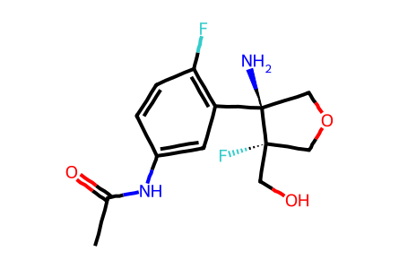 CC(=O)Nc1ccc(F)c([C@]2(N)COC[C@@]2(F)CO)c1